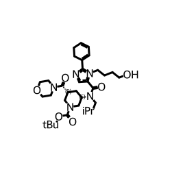 CC(C)CN(C(=O)c1cnc(C2=CC=CCC2)n1CCCCO)[C@H]1C[C@@H](C(=O)N2CCOCC2)CN(C(=O)OC(C)(C)C)C1